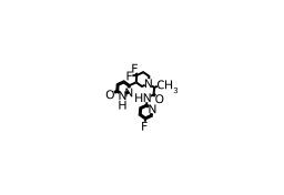 CC(C(=O)Nc1ccc(F)cn1)N1CCC(F)(F)C(c2ccc(=O)[nH]n2)C1